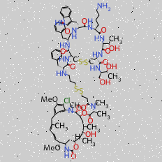 COc1cc2cc(c1Cl)N(C)C(=O)C(OC(=O)[C@H](C)N(C)C(=O)CCSSCCCN[C@H](Cc1ccccc1)C(=O)NC1CSSC[C@@H](C(=O)N[C@H](CO)[C@@H](C)O)NC(=O)[C@H]([C@@H](C)O)NC(=O)[C@H](CCCCN)NC(=O)[C@@H](Cc3c[nH]c4ccccc34)NC(=O)[C@H](Cc3ccccc3)NC1=O)C[C@@H](C)[C@@H](O)[C@H](C)[C@@H]1CC(NC(=O)O1)[C@H](OC)/C=C/C=C(\C)C2